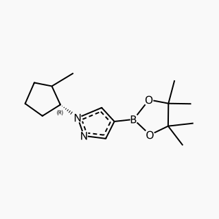 CC1CCC[C@H]1n1cc(B2OC(C)(C)C(C)(C)O2)cn1